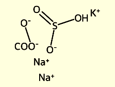 O=C([O-])[O-].O=S([O-])O.[K+].[Na+].[Na+]